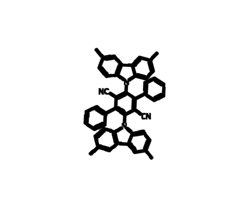 Cc1ccc2c(c1)c1cc(C)ccc1n2-c1c(C#N)c(-c2ccccc2)c(-n2c3ccc(C)cc3c3cc(C)ccc32)c(C#N)c1-c1ccccc1